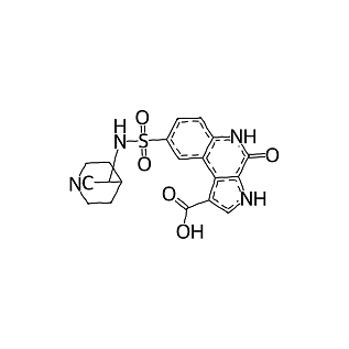 O=C(O)c1c[nH]c2c(=O)[nH]c3ccc(S(=O)(=O)NC4CN5CCC4CC5)cc3c12